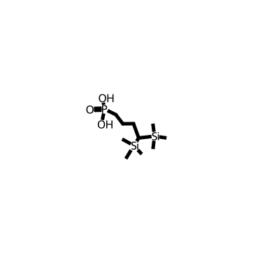 C[Si](C)(C)C(CCCP(=O)(O)O)[Si](C)(C)C